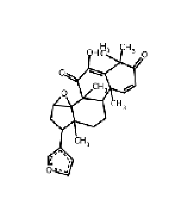 CC1(C)C(=O)C=CC2(C)C1=C(O)C(=O)C1(C)C2CCC2(C)C(c3ccoc3)CC3OC321